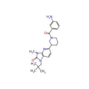 Cn1c(=O)n(CC(C)(C)C)c2ccc(C3CCCN(C(=O)c4cccc(N)c4)C3)nc21